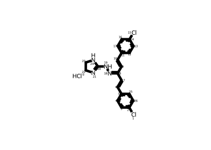 Cl.Clc1ccc(C=CC(C=Cc2ccc(Cl)cc2)=NNC2=NCCN2)cc1